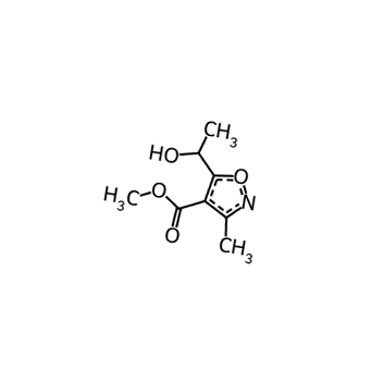 COC(=O)c1c(C)noc1C(C)O